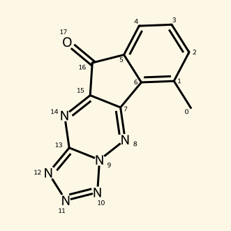 Cc1cccc2c1-c1nn3nnnc3nc1C2=O